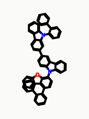 c1ccc(-c2ccccc2-c2ccc(-n3c4ccccc4c4cc(-c5ccc6c7ccccc7n(-c7ccccc7-c7ccccc7)c6c5)ccc43)c3oc4ccccc4c23)cc1